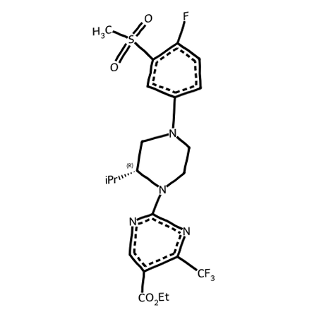 CCOC(=O)c1cnc(N2CCN(c3ccc(F)c(S(C)(=O)=O)c3)C[C@H]2C(C)C)nc1C(F)(F)F